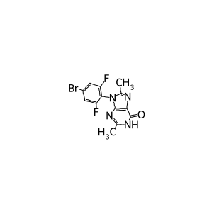 Cc1nc2c(nc(C)n2-c2c(F)cc(Br)cc2F)c(=O)[nH]1